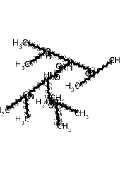 CCCCCCCCC(CCCCCCCC)OC(=O)CCCCCCCN(CCCCCCCC(=O)OC(CCCCCCCC)CCCCCCCC)CCNC(=O)CCC(=O)NCCN(CCCCCCCC(=O)OC(CCCCCCCC)CCCCCCCC)CCCCCCC(C)(C)C(=O)OC(CCCCCCCC)CCCCCCCC